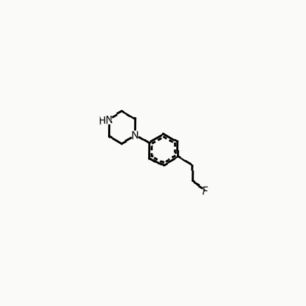 FCCc1ccc(N2CCNCC2)cc1